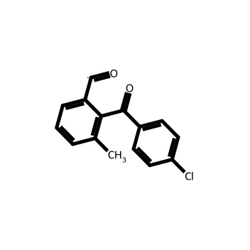 Cc1cccc([C]=O)c1C(=O)c1ccc(Cl)cc1